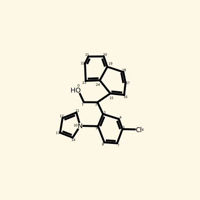 OCC(c1cc(Cl)ccc1-n1cccc1)c1cccc2ccccc12